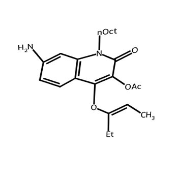 CC=C(CC)Oc1c(OC(C)=O)c(=O)n(CCCCCCCC)c2cc(N)ccc12